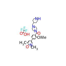 COc1cc(-c2cc(C)c(=O)n(C)c2)ccc1C(=O)N1CCN(CC2CCNCC2)CC1.O=C(O)C(F)(F)F